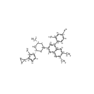 Cc1nc2nc(N3C[C@@H](C)O[C@@H](c4cnn(C5CC5)c4F)C3)nc(-c3ccc(F)cc3F)c2nc1C